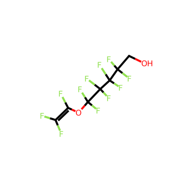 OCC(F)(F)C(F)(F)C(F)(F)C(F)(F)OC(F)=C(F)F